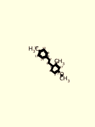 COC1=CCC(CCc2ccc(C)cc2)C(C)=C1